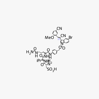 COc1ccc(C#N)cc1/C=C(\C#N)c1cn(C(=O)OCc2ccc(NC(=O)[C@H](CCCNC(N)=O)NC(=O)[C@@H](NC(=O)C(N)CS(=O)(=O)O)C(C)C)cc2)c2ccc(Br)cc12